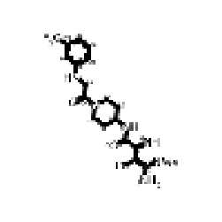 CN/C(N)=C(/Cl)C(=N)C(=O)NC1CCN(C(=O)CNc2cccc(C(F)(F)F)c2)CC1